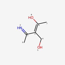 CC(=N)/C(CO)=C(/C)O